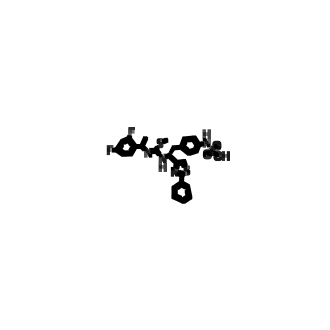 CS/C(=N\C(C)c1ccc(F)cc1F)N[C@@H](Cc1ccc(NS(=O)(=O)O)cc1)c1csc(-c2ccccc2)n1